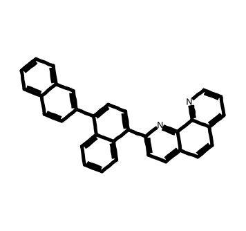 c1ccc2cc(-c3ccc(-c4ccc5ccc6cccnc6c5n4)c4ccccc34)ccc2c1